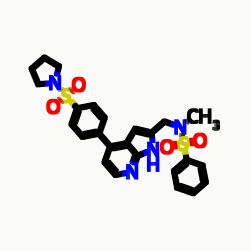 CN(Cc1cc2c(-c3ccc(S(=O)(=O)N4CCCC4)cc3)ccnc2[nH]1)S(=O)(=O)c1ccccc1